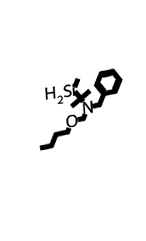 CCCCOCN(Cc1ccccc1)C(C)(C)[SiH2]C